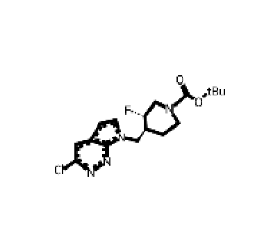 CC(C)(C)OC(=O)N1CC[C@@H](Cn2ccc3cc(Cl)nnc32)[C@H](F)C1